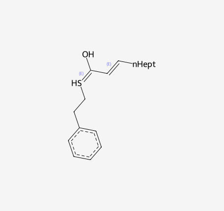 CCCCCCC/C=C/C(O)=[SH]\CCc1ccccc1